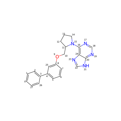 c1ccc(-c2cccc(OCC3CCCN3c3ncnc4[nH]cnc34)c2)cc1